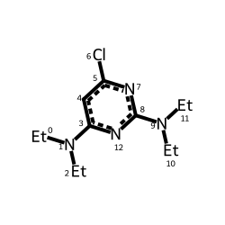 CCN(CC)c1cc(Cl)nc(N(CC)CC)n1